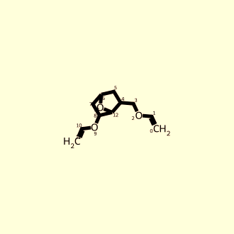 C=COCC1CC2CC(OC=C)C1O2